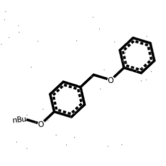 [CH2]CCCOc1ccc(COc2ccccc2)cc1